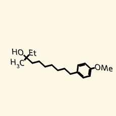 CCC(C)(O)CCCCCCCc1ccc(OC)cc1